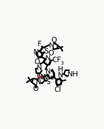 CN[C@H]1CCN(C(=O)c2c(C[n+]3ccc(-c4cc(Cl)cc(C)c4NC4CCNC4)c4sc(CN5C(=O)C6C(C5=O)C6(C)C)cc43)cc(C(F)(F)F)nc2-c2ccnc3c(F)c(CN4C(=O)C5C(C4=O)C5(C)C)sc23)C1